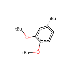 CC[C@@H](C)c1ccc(OC(C)(C)C)c(OC(C)(C)C)c1